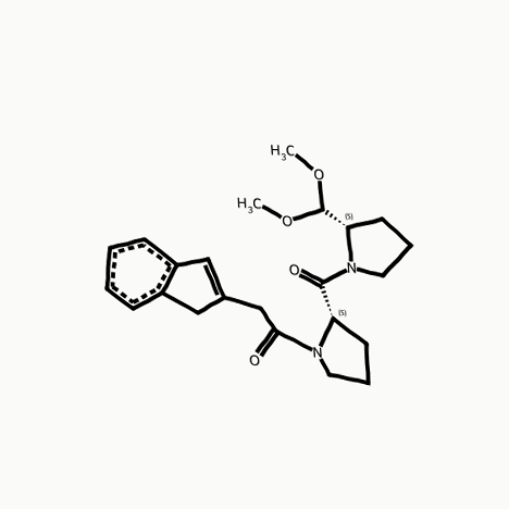 COC(OC)[C@@H]1CCCN1C(=O)[C@@H]1CCCN1C(=O)CC1=Cc2ccccc2C1